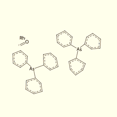 [C]=O.[Rh].c1ccc([As](c2ccccc2)c2ccccc2)cc1.c1ccc([As](c2ccccc2)c2ccccc2)cc1